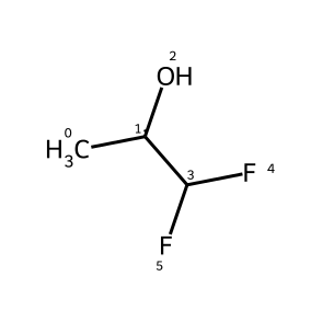 C[C](O)C(F)F